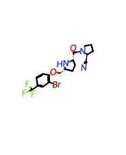 N#C[C@@H]1CCCN1C(=O)[C@@H]1CC[C@H](COc2ccc(C(F)(F)F)cc2Br)N1